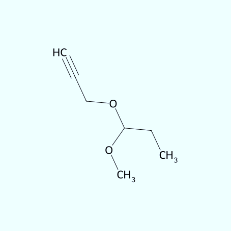 C#CCOC(CC)OC